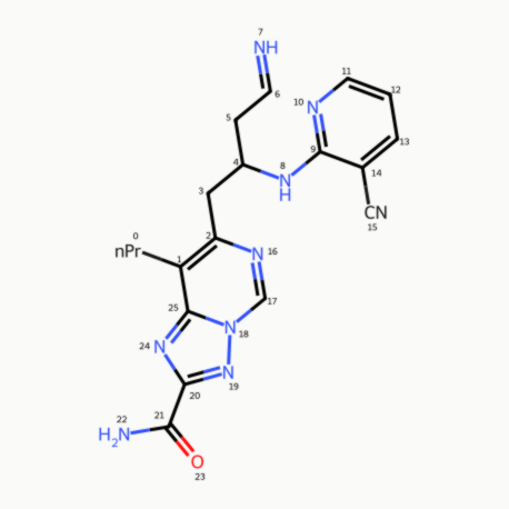 CCCc1c(CC(CC=N)Nc2ncccc2C#N)ncn2nc(C(N)=O)nc12